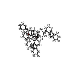 C1#CCC=C2C(=C1)C(c1ccccc1)(c1c(N(C3=CC=C(c4cccc5c4sc4ccccc45)CC3)c3ccc(-c4ccccc4)cc3)ccc3c1oc1ccccc13)c1ccccc12